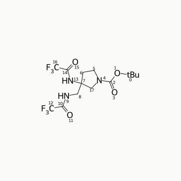 CC(C)(C)OC(=O)N1CCC(CNC(=O)C(F)(F)F)(NC(=O)C(F)(F)F)C1